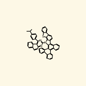 CC(C)c1ccc(-c2nc(-n3c4c(ccc5c6ccccc6sc54)c4c5ccccc5c5c6ccccc6c6ccccc6c5c43)nc3ccc4ccccc4c23)cc1